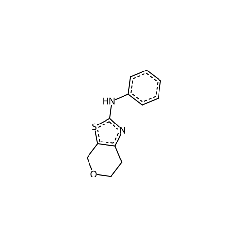 c1ccc(Nc2nc3c(s2)COCC3)cc1